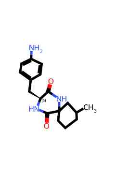 CC1CCCC2(C1)NC(=O)[C@H](Cc1ccc(N)cc1)NC2=O